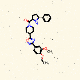 CCOc1ccc(-c2noc(C3CCN(C(=O)C4CC[C@H](c5ccccc5)N4)CC3)n2)cc1OC